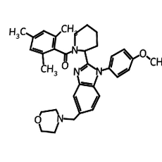 COc1ccc(-n2c(C3CCCCN3C(=O)c3c(C)cc(C)cc3C)nc3cc(CN4CCOCC4)ccc32)cc1